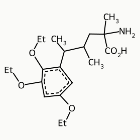 CCOc1cc(OCC)c(OCC)c(C(C)C(C)CC(C)(N)C(=O)O)c1